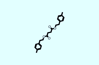 Cc1ccc(CCOC(=O)CCC(=O)OCCc2ccc(C)cc2)cc1